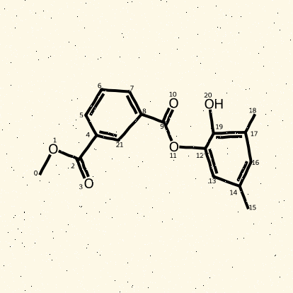 COC(=O)c1cccc(C(=O)Oc2cc(C)cc(C)c2O)c1